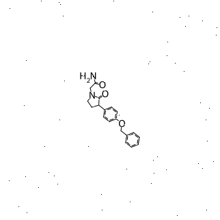 NC(=O)CN1CCC(c2ccc(OCc3ccccc3)cc2)C1=O